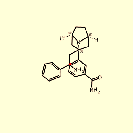 NC(=O)c1cccc([C@H]2C[C@H]3CC[C@@H](C2)N3CCC(N)c2ccccc2)c1